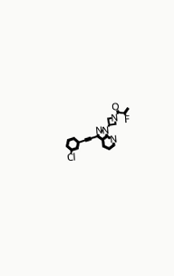 C=C(F)C(=O)N1CC(n2nc(C#Cc3cccc(Cl)c3)c3cccnc32)C1